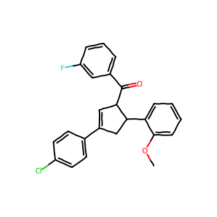 COc1ccccc1C1CC(c2ccc(Cl)cc2)=CC1C(=O)c1cccc(F)c1